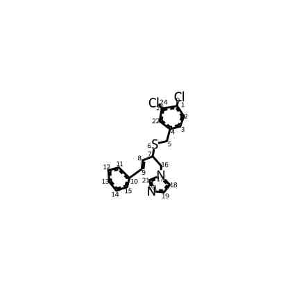 Clc1ccc(CSC(C=Cc2ccccc2)Cn2ccnc2)cc1Cl